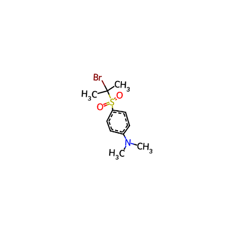 CN(C)c1ccc(S(=O)(=O)C(C)(C)Br)cc1